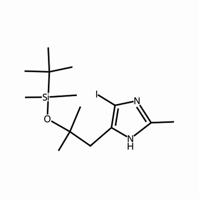 Cc1nc(I)c(CC(C)(C)O[Si](C)(C)C(C)(C)C)[nH]1